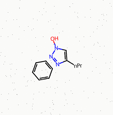 CCCc1cn(O)nn1.c1ccccc1